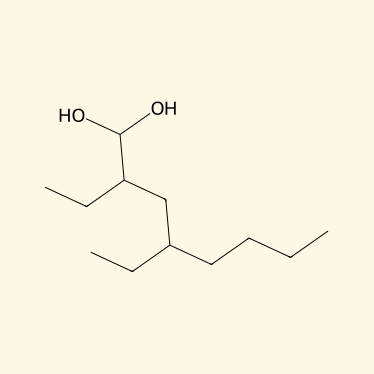 CCCCC(CC)CC(CC)C(O)O